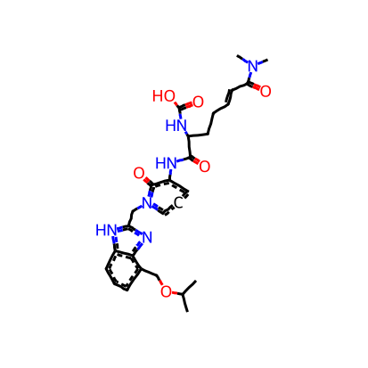 CC(C)OCc1cccc2[nH]c(Cn3cccc(NC(=O)C(CCC=CC(=O)N(C)C)NC(=O)O)c3=O)nc12